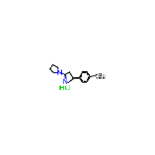 CC(C)(C)c1ccc(C2CN=C(N3CCCC3)C2)cc1.Cl